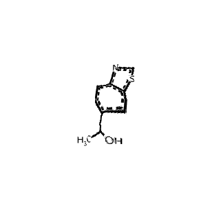 CC(O)c1ccc2ncsc2c1